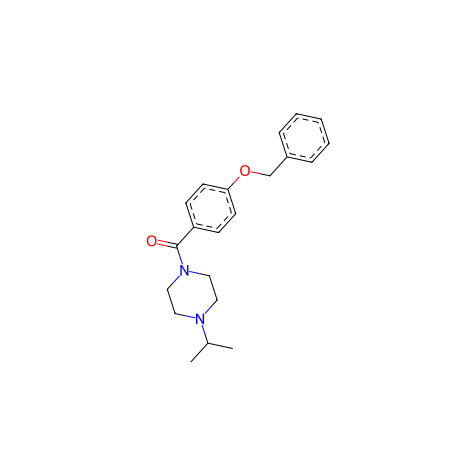 CC(C)N1CCN(C(=O)c2ccc(OCc3ccccc3)cc2)CC1